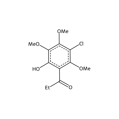 CCC(=O)c1c(O)c(OC)c(OC)c(Cl)c1OC